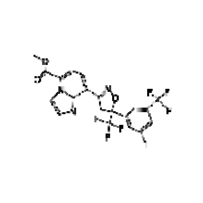 COC(=O)c1ccc(C2=NOC(c3cc(I)cc(C(F)(F)F)c3)(C(F)(F)F)C2)c2nccn12